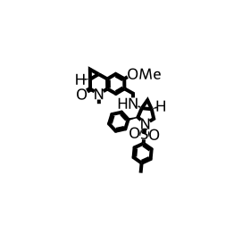 COc1cc2c(cc1CN[C@]13C[C@H]1CN(S(=O)(=O)c1ccc(C)cc1)[C@H]3c1ccccc1)N(C)C(=O)[C@H]1CC21